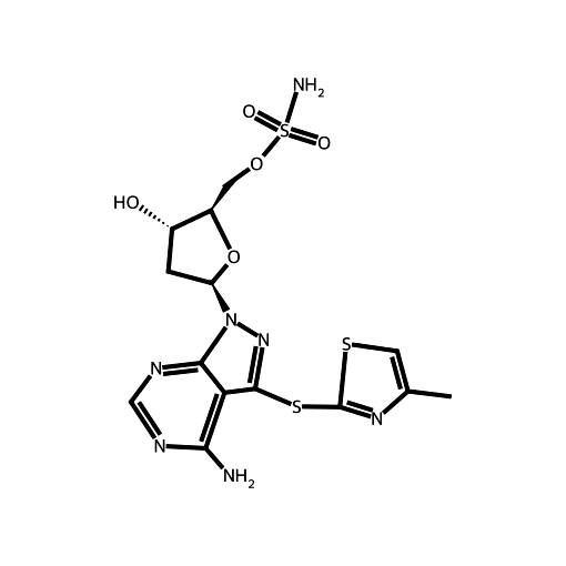 Cc1csc(Sc2nn([C@H]3C[C@H](O)[C@@H](COS(N)(=O)=O)O3)c3ncnc(N)c23)n1